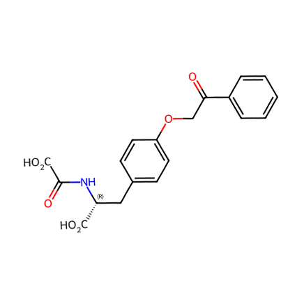 O=C(O)C(=O)N[C@H](Cc1ccc(OCC(=O)c2ccccc2)cc1)C(=O)O